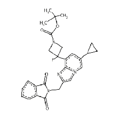 CC(C)(C)OC(=O)N1CC(F)(c2cc(C3CC3)cn3cc(CN4C(=O)c5ccccc5C4=O)nc23)C1